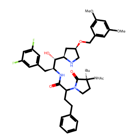 CC[C@@H](C)C1(NC(C)=O)CCN(C(CCc2ccccc2)C(=O)N[C@@H](Cc2cc(F)cc(F)c2)[C@H](O)[C@H]2C[C@@H](OCc3cc(OC)cc(OC)c3)CN2)C1=O